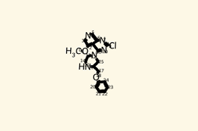 COc1cncc2nc(Cl)nc(N3CCNC(COc4ccccc4)C3)c12